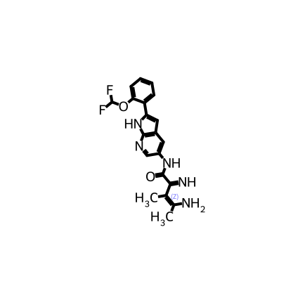 C/C(N)=C(\C)C(=N)C(=O)Nc1cnc2[nH]c(-c3ccccc3OC(F)F)cc2c1